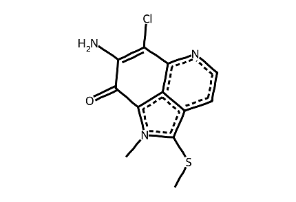 CSc1c2ccnc3c2c(n1C)C(=O)C(N)=C3Cl